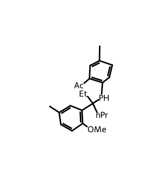 CCCC(CC)(Pc1ccc(C)cc1C(C)=O)c1cc(C)ccc1OC